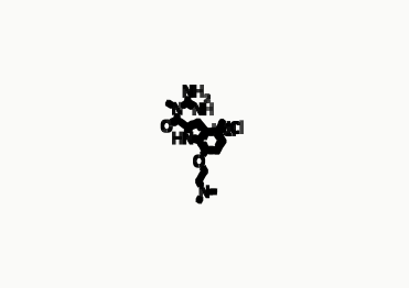 Cc1ccc(OCCN(C)C)c2[nH]c(C(=O)N(C)C(=N)N)cc12.Cl.Cl